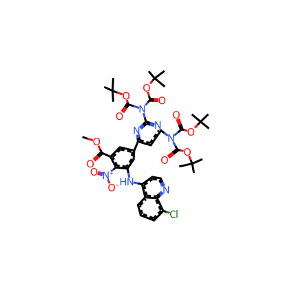 COC(=O)c1cc(-c2cc(N(C(=O)OC(C)(C)C)C(=O)OC(C)(C)C)nc(N(C(=O)OC(C)(C)C)C(=O)OC(C)(C)C)n2)cc(Nc2ccnc3c(Cl)cccc23)c1[N+](=O)[O-]